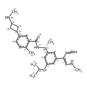 CN/C=C(\C=N)c1cc(OC(C)C)cc([C@@H](C)NC(=O)c2cc(N3CC(NC)C3)ccc2C)c1